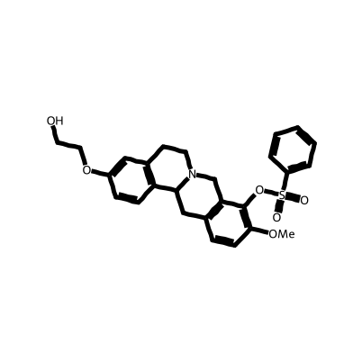 COc1ccc2c(c1OS(=O)(=O)c1ccccc1)CN1CCc3cc(OCCO)ccc3C1C2